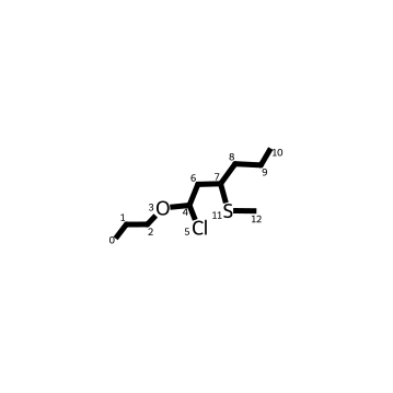 CCCOC(Cl)CC(CCC)SC